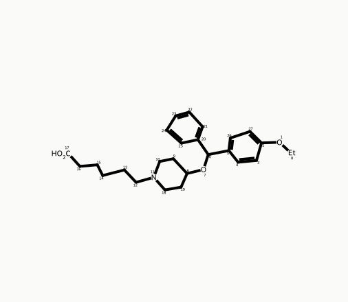 CCOc1ccc(C(OC2CCN(CCCCCC(=O)O)CC2)c2ccccc2)cc1